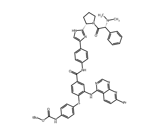 CC(C)c1ccc2c(Nc3cc(C(=O)Nc4ccc(-c5c[nH]c([C@@H]6CCCN6C(=O)[C@@H](c6ccccc6)N(C)C)n5)cc4)ccc3Sc3ccc(NC(=O)OC(C)(C)C)cc3)ncnc2n1